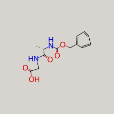 C[C@H](NC(=O)OCc1ccccc1)C(=O)NCC(=O)O